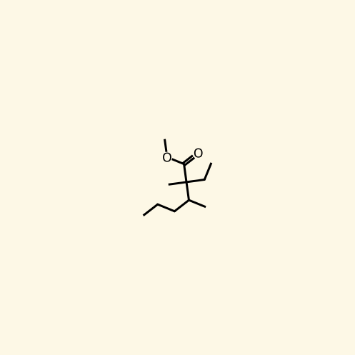 CCCC(C)C(C)(CC)C(=O)OC